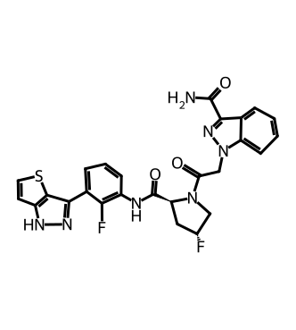 NC(=O)c1nn(CC(=O)N2C[C@H](F)C[C@H]2C(=O)Nc2cccc(-c3n[nH]c4ccsc34)c2F)c2ccccc12